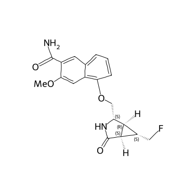 COc1cc2c(OC[C@H]3NC(=O)[C@@H]4[C@@H](CF)[C@@H]43)cccc2cc1C(N)=O